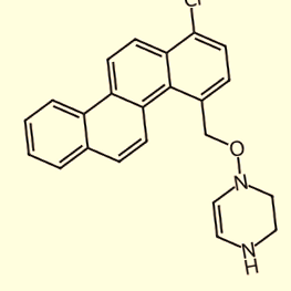 Clc1ccc(CON2C=CNCC2)c2c1ccc1c3ccccc3ccc12